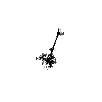 CCCCC(NC(=O)C(CNC(=O)CN(CC(=O)O)CC(=O)O)NC(=O)C(CO)NC(=O)C(CCC(N)=O)NC(=O)C(CO)NC(=O)CNC(=O)COCCOCCNC(=O)CCCCCCCCCCCCCCCC1=NNNN1)C(=O)NC